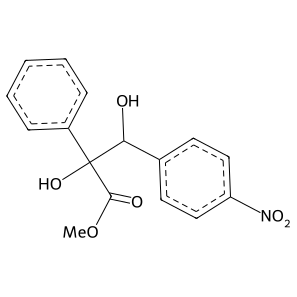 COC(=O)C(O)(c1ccccc1)C(O)c1ccc([N+](=O)[O-])cc1